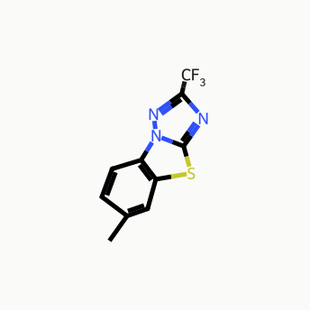 Cc1ccc2c(c1)sc1nc(C(F)(F)F)nn12